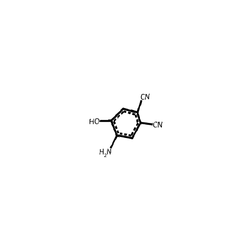 N#Cc1cc(N)c(O)cc1C#N